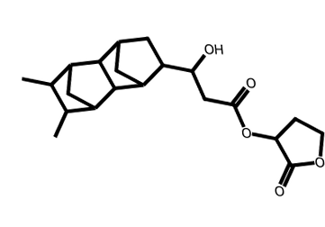 CC1C(C)C2CC1C1C3CC(C(O)CC(=O)OC4CCOC4=O)C(C3)C21